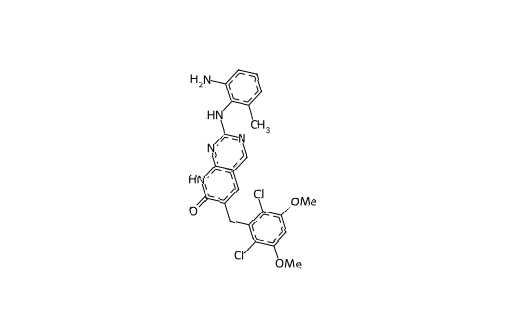 COc1cc(OC)c(Cl)c(Cc2cc3cnc(Nc4c(C)cccc4N)nc3[nH]c2=O)c1Cl